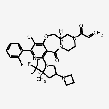 C=CC(=O)N1CCN2C(=O)c3c(N4CC(N5CCC5)C[C@@]4(C)C(F)(F)F)nc(-c4ccccc4F)c(Cl)c3OC[C@H]2C1